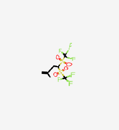 C=C(C)CC(S(=O)(=O)C(F)(F)F)S(=O)(=O)C(F)(F)F